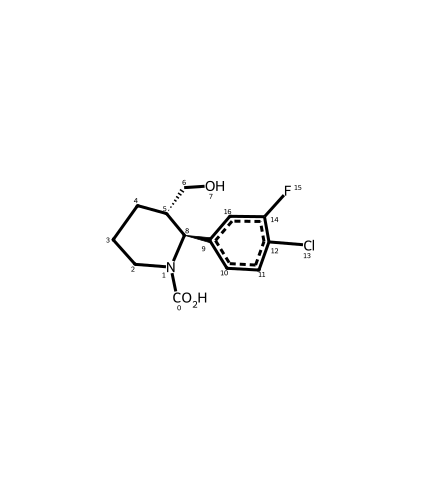 O=C(O)N1CCC[C@H](CO)[C@H]1c1ccc(Cl)c(F)c1